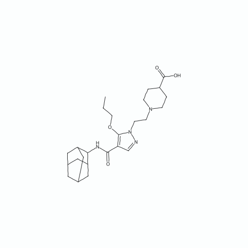 CCCOc1c(C(=O)NC2C3CC4CC(C3)CC2C4)cnn1CCN1CCC(C(=O)O)CC1